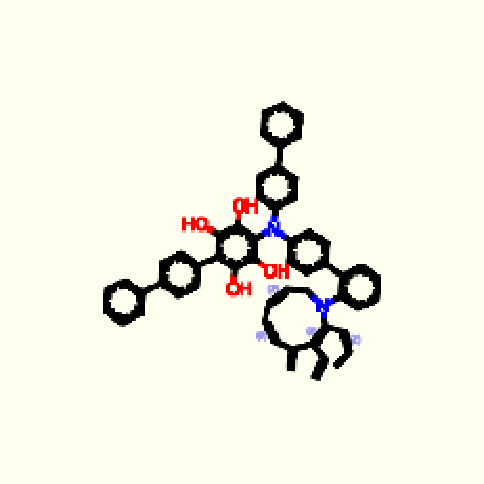 C=C/C1=C(\C=C/C)N(c2ccccc2-c2ccc(N(c3ccc(-c4ccccc4)cc3)c3c(O)c(O)c(-c4ccc(-c5ccccc5)cc4)c(O)c3O)cc2)C/C=C\C=C/C1=C